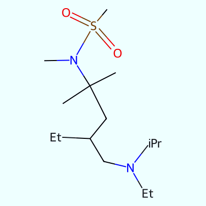 CCC(CN(CC)C(C)C)CC(C)(C)N(C)S(C)(=O)=O